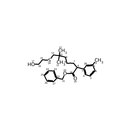 Cc1cccc(C(CCCC(C)(C)CSCCO)C(=O)OCc2ccccc2)c1